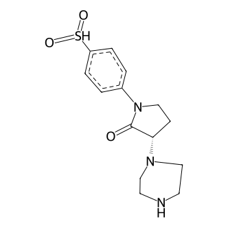 O=C1[C@@H](N2CCNCC2)CCN1c1ccc([SH](=O)=O)cc1